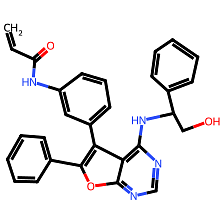 C=CC(=O)Nc1cccc(-c2c(-c3ccccc3)oc3ncnc(NC(CO)c4ccccc4)c23)c1